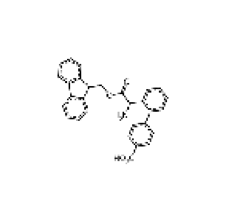 NC(C(=O)OCC1c2ccccc2-c2ccccc21)c1ccccc1-c1ccc(C(=O)O)cc1